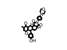 CC1=CC(=O)C2=C(CC3C(=CC[C@@H]4C(=O)N(c5ccc(N6CCOCC6)cc5)C(=O)[C@H]34)C2c2ccc(O)cc2)C1=O